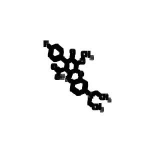 CCN(CC)c1ccc2nc3c(C(=O)O)c(-c4ccc(F)cc4)c(=O)c(OC)c-3oc2c1